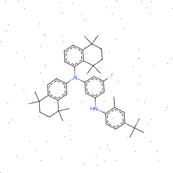 Cc1cc(C(C)(C)C)ccc1Nc1cc(F)cc(N(c2ccc3c(c2)C(C)(C)CCC3(C)C)c2cccc3c2C(C)(C)CCC3(C)C)c1